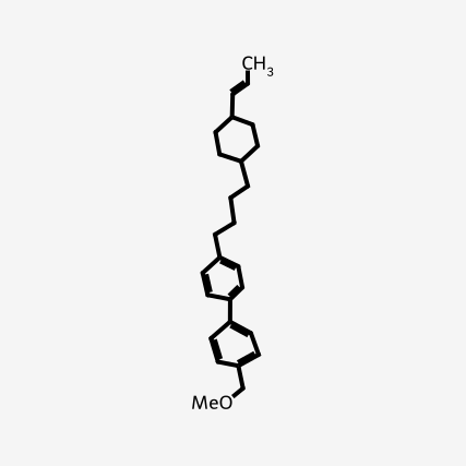 CC=CC1CCC(CCCCc2ccc(-c3ccc(COC)cc3)cc2)CC1